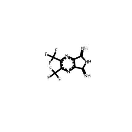 N=C1NC(=N)c2nc(C(F)(F)F)c(C(F)(F)F)nc21